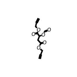 C#CCOC(=O)CC(OC=O)C(=O)OCC#C